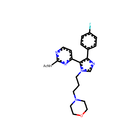 CC(=O)Nc1nccc(-c2c(-c3ccc(F)cc3)ncn2CCCN2CCOCC2)n1